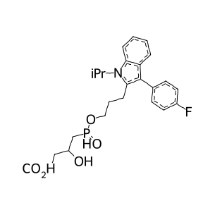 CC(C)n1c(CCCO[PH](=O)CC(O)CC(=O)O)c(-c2ccc(F)cc2)c2ccccc21